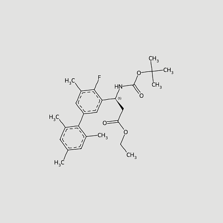 CCOC(=O)C[C@H](NC(=O)OC(C)(C)C)c1cc(-c2c(C)cc(C)cc2C)cc(C)c1F